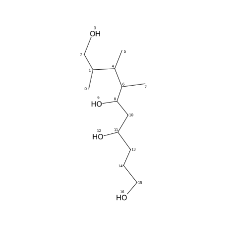 CC(CO)C(C)C(C)C(O)CC(O)CCCO